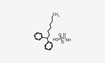 CCCCCCCC(c1ccccc1)c1ccccc1.O=S(=O)(O)O.[KH]